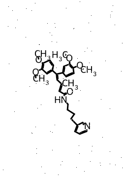 COc1ccc(C(=C/C(C)=C/C(=O)NCCCCc2cccnc2)c2ccc(OC)c(OC)c2)cc1OC